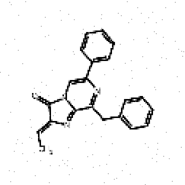 C/C=C1\N=C2C(Cc3ccccc3)=NC(c3ccccc3)=CN2C1=O